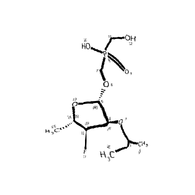 CC(C)O[C@@H]1[C@@H](OCP(=O)(O)CO)O[C@@H](C)[C@@H]1F